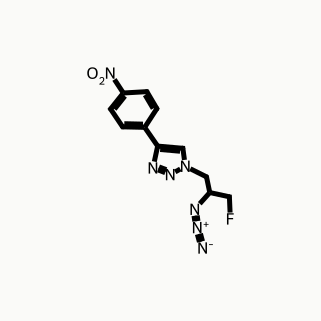 [N-]=[N+]=NC(CF)Cn1cc(-c2ccc([N+](=O)[O-])cc2)nn1